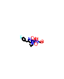 COCCNC(=O)c1c(O)c2ncc(Cc3ccc(F)cc3)cc2n(CC(C)C)c1=O